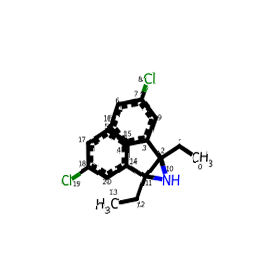 CCC1(c2cccc(Cl)c2)NC1(CC)c1cccc(Cl)c1